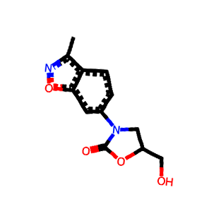 Cc1noc2cc(N3CC(CO)OC3=O)ccc12